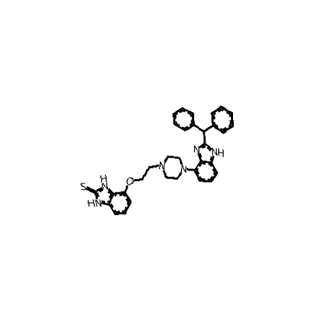 S=c1[nH]c2cccc(OCCN3CCN(c4cccc5[nH]c(C(c6ccccc6)c6ccccc6)nc45)CC3)c2[nH]1